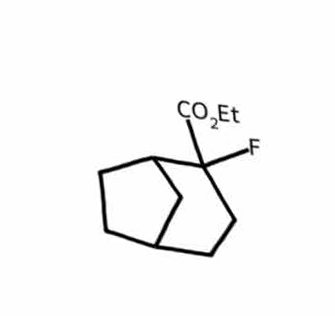 CCOC(=O)C1(F)CCC2CCC1C2